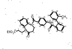 CCOC(=O)CCN1C(=O)CCN(C(=O)c2ccc(NC(=O)c3ccccc3-c3ccccc3C)cc2)c2ccccc21